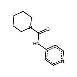 O=C(Nc1ccncc1)N1CCCCC1